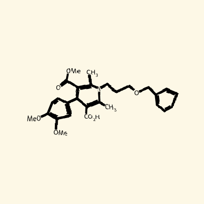 COC(=O)C1=C(C)N(CCCOCc2ccccc2)C(C)=C(C(=O)O)C1c1ccc(OC)c(OC)c1